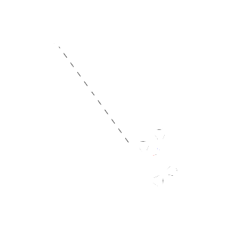 C#CC#CC#CC#CC#CC#CC#CC#CC#CC#CC#COc1ccc(C(NC(=O)OCC2c3ccccc3-c3ccccc32)c2ccc(O)cc2)cc1